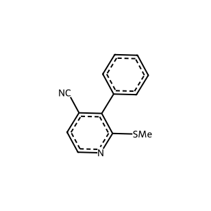 CSc1nccc(C#N)c1-c1ccccc1